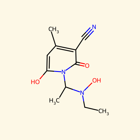 CCN(O)C(C)n1c(O)cc(C)c(C#N)c1=O